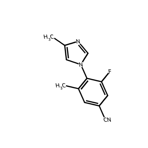 Cc1cn(-c2c(C)cc(C#N)cc2F)cn1